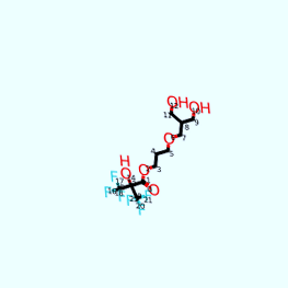 O=C(OCCCOCC(CO)CO)C(O)(C(F)(F)F)C(F)(F)F